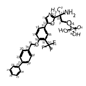 C[C@](N)(COP(=O)(O)O)c1ncc(-c2ccc(OCc3ccc(-c4ccccc4)cc3)c(C(F)(F)F)c2)o1